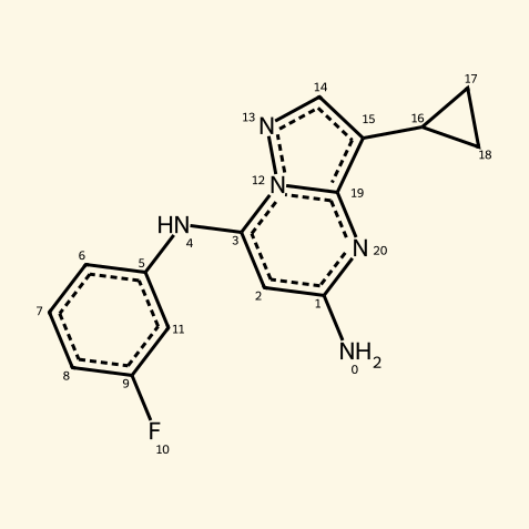 Nc1cc(Nc2cccc(F)c2)n2ncc(C3CC3)c2n1